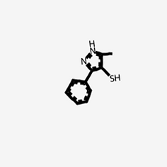 Cc1[nH]nc(-c2ccccc2)c1S